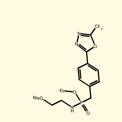 CCOP(=O)(Cc1ccc(-c2nnc(C(F)(F)F)o2)cc1)NCCOC